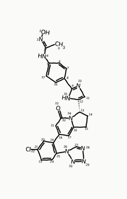 C/C(=N\O)Nc1ccc(-c2ncc([C@@H]3CCc4cc(-c5cc(Cl)ccc5-n5cnnn5)cc(=O)n43)[nH]2)cc1